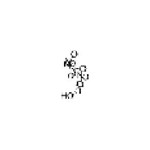 O=C1CN(C(=O)c2ccc(OCCO)cc2)c2ccccc2CN1Cc1nnc(-c2ccccc2)o1